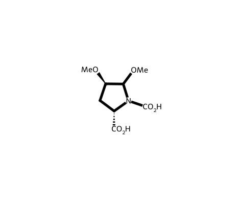 COC1[C@H](OC)C[C@@H](C(=O)O)N1C(=O)O